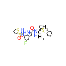 CC(C)(CNC(=O)c1cc2cc(F)cc(N[S+]([O-])c3cccs3)c2[nH]1)SCc1ccccc1